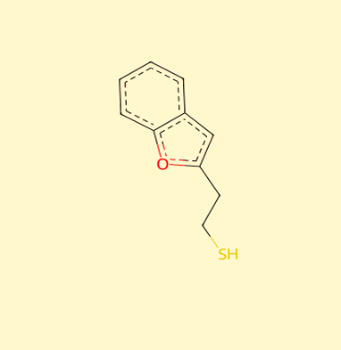 SCCc1cc2ccccc2o1